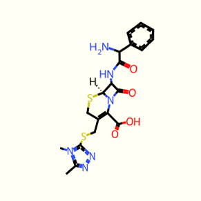 Cc1nnc(SCC2=C(C(=O)O)N3C(=O)C(NC(=O)C(N)c4ccccc4)[C@@H]3SC2)n1C